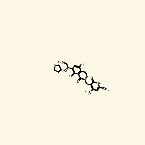 Cc1cc(C)c(CN2CCc3c(Cl)cc(C(CO)O[C@@H]4CCOC4)c(Cl)c3C2=O)c(=O)[nH]1